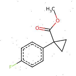 COC(=O)C1(c2ccc(F)cc2)CC1